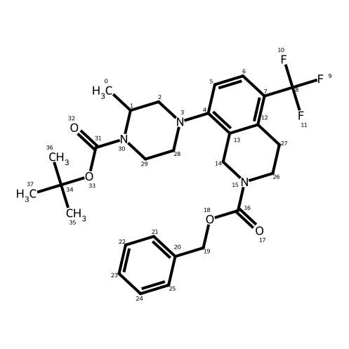 CC1CN(c2ccc(C(F)(F)F)c3c2CN(C(=O)OCc2ccccc2)CC3)CCN1C(=O)OC(C)(C)C